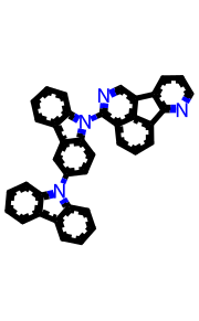 c1cnc2c(c1)-c1cnc(-n3c4ccccc4c4cc(-n5c6ccccc6c6ccccc65)ccc43)c3cccc-2c13